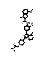 COc1cc(-c2nc(C3CCN(CC(=O)N(C)C)CC3)n3ccnc(C)c23)ccc1NC(=O)C1Cc2c(OC)cccc2N1C